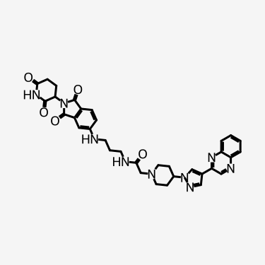 O=C(CN1CCC(n2cc(-c3cnc4ccccc4n3)cn2)CC1)NCCCNc1ccc2c(c1)C(=O)N(C1CCC(=O)NC1=O)C2=O